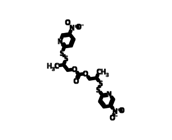 CC(COC(=O)OCC(C)SSc1ccc([N+](=O)[O-])cn1)SSc1ccc([N+](=O)[O-])cn1